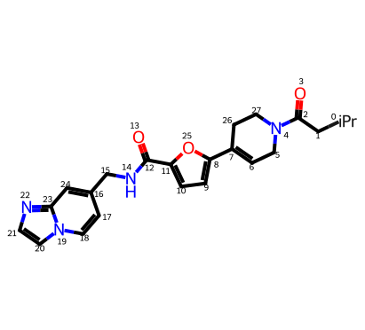 CC(C)CC(=O)N1CC=C(c2ccc(C(=O)NCc3ccn4ccnc4c3)o2)CC1